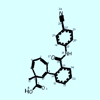 CC1(C(=O)O)C=CC=CC(c2ccccc2C(=O)Nc2ccc(C#N)cc2)=C1